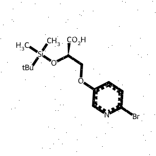 CC(C)(C)[Si](C)(C)O[C@H](COc1ccc(Br)nc1)C(=O)O